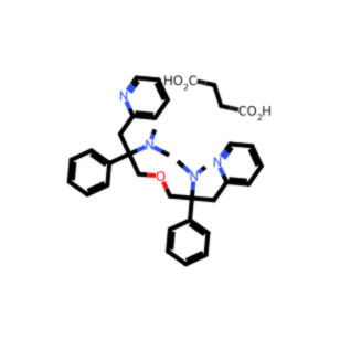 CN(C)C(COCC(Cc1ccccn1)(c1ccccc1)N(C)C)(Cc1ccccn1)c1ccccc1.O=C(O)CCC(=O)O